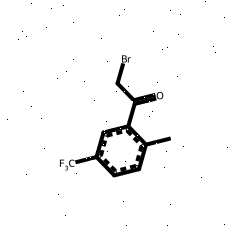 Cc1ccc(C(F)(F)F)cc1C(=O)CBr